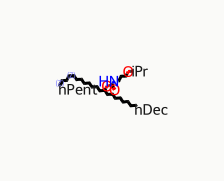 CCCCC/C=C\C/C=C\CCCCCCCC(CCCCCCCCCCCCCCCCCC)OC(=O)NCCCOC(C)C